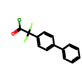 O=C(Cl)C(F)(F)c1ccc(-c2ccccc2)cc1